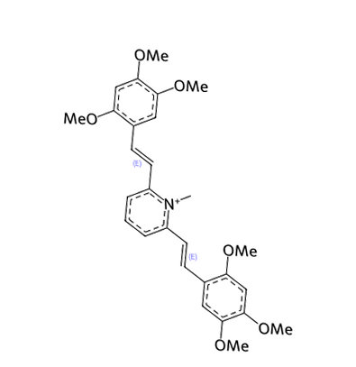 COc1cc(OC)c(OC)cc1/C=C/c1cccc(/C=C/c2cc(OC)c(OC)cc2OC)[n+]1C